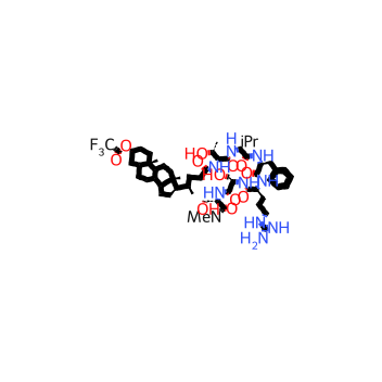 CNC(=O)[C@H](CO)NC(=O)[C@H](CO)NC(=O)[C@H](CCCNC(=N)N)NC(=O)[C@H](Cc1ccccc1)NC(=O)[C@@H](NC(=O)C(NC(=O)CC[C@@H](C)[C@H]1CCC2C3CCC4C[C@H](OC(=O)C(F)(F)F)CC[C@]4(C)C3CC[C@@]21C)[C@@H](C)O)C(C)C